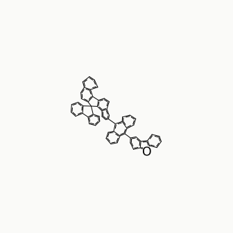 c1ccc2c(c1)-c1ccccc1C21c2ccc3ccccc3c2-c2ccc3cc(-c4c5ccccc5c(-c5ccc6oc7ccccc7c6c5)c5ccccc45)ccc3c21